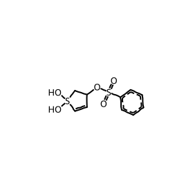 O=S(=O)(OC1C=CS(O)(O)C1)c1ccccc1